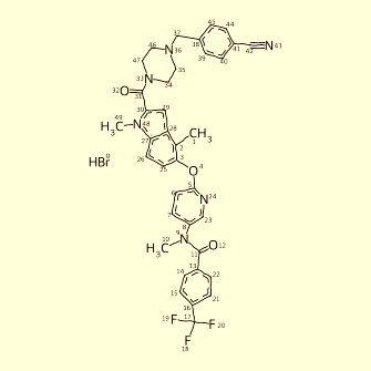 Br.Cc1c(Oc2ccc(N(C)C(=O)c3ccc(C(F)(F)F)cc3)cn2)ccc2c1cc(C(=O)N1CCN(Cc3ccc(C#N)cc3)CC1)n2C